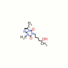 Cc1cnc2n(C)c(=O)n(CCCC[C@@H](C)O)c(=O)n12